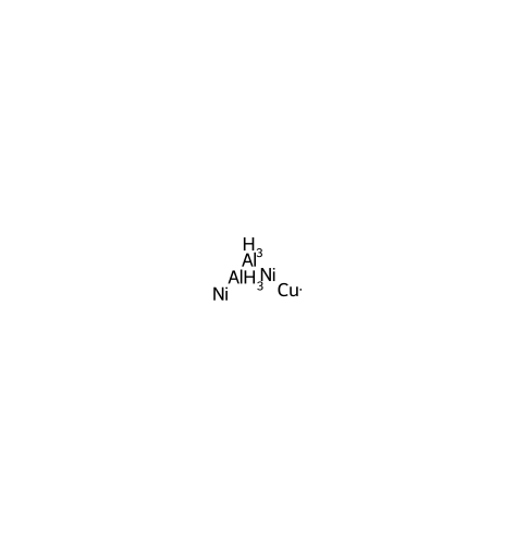 [AlH3].[AlH3].[Cu].[Ni].[Ni]